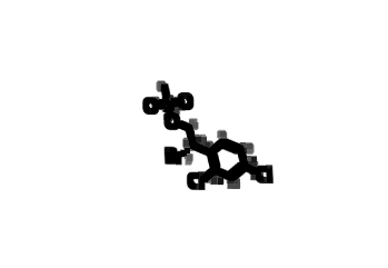 CS(=O)(=O)OC[C@@H](Br)c1ccc(Cl)cc1Cl